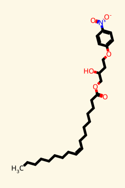 CCCCCCCC/C=C\CCCCCCCC(=O)OCC(O)CCOc1ccc([N+](=O)[O-])cc1